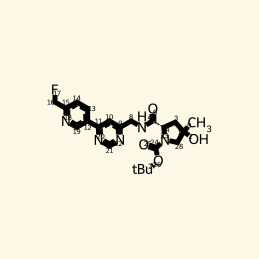 CC1(O)C[C@@H](C(=O)NCc2cc(-c3ccc(CF)nc3)ncn2)N(C(=O)OC(C)(C)C)C1